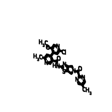 COc1cnc(Cl)cc1-c1cc(C)ncc1C(=O)Nc1nc2c(s1)CN(C(=O)c1ncc(C)cn1)C2